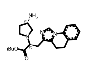 CC(C)COC(=O)[C@H](Cc1ncn2c1CCc1ccccc1-2)N1CC[C@H](N)C1